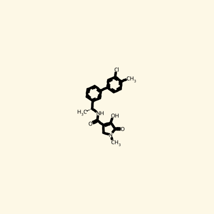 Cc1ccc(-c2cccc([C@@H](C)NC(=O)C3=C(O)C(=O)N(C)C3)c2)cc1Cl